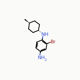 C[C@H]1CC[C@H](Nc2ccc(N)cc2Br)CC1